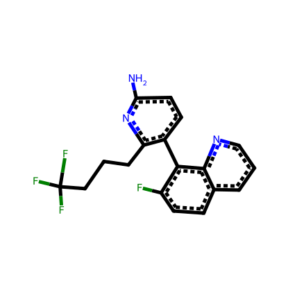 Nc1ccc(-c2c(F)ccc3cccnc23)c(CCCC(F)(F)F)n1